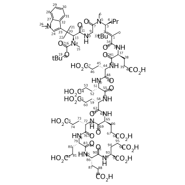 C/C(=C\[C@H](C(C)C)N(C)C(=O)[C@@H](NC(=O)[C@@H](N(C)C(=O)OC(C)(C)C)C(C)(C)c1cn(C)c2ccccc12)C(C)(C)C)C(=O)N[C@@H](CCC(=O)O)C(=O)N[C@@H](CCC(=O)O)C(=O)N[C@@H](CCC(=O)O)C(=O)N[C@@H](CCC(=O)O)C(=O)N[C@@H](CCC(=O)O)C(=O)N[C@@H](CCC(=O)O)C(=O)N[C@@H](CCC(=O)O)C(=O)N[C@@H](CCC(=O)O)C(=O)N[C@@H](CCC(=O)O)C(=O)O